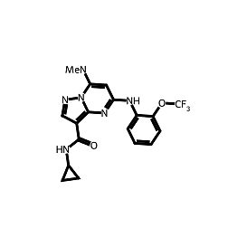 CNc1cc(Nc2ccccc2OC(F)(F)F)nc2c(C(=O)NC3CC3)cnn12